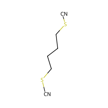 N#CSCCCCSC#N